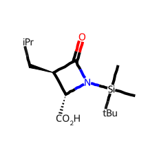 CC(C)C[C@H]1C(=O)N([Si](C)(C)C(C)(C)C)[C@@H]1C(=O)O